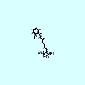 CCc1noc(CC)c1CCCCCCOc1ccccc1F